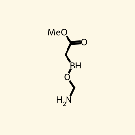 COC(=O)CBOCN